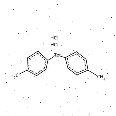 Cc1ccc([Te+]c2ccc(C)cc2)cc1.Cl.Cl